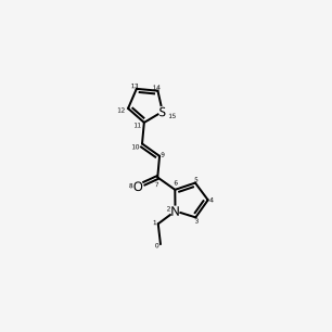 CCn1cccc1C(=O)C=Cc1cccs1